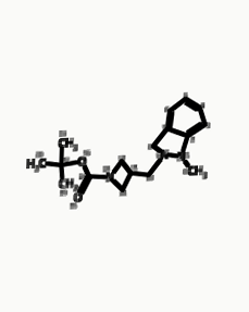 CN1c2ccccc2CN1CC1CN(C(=O)OC(C)(C)C)C1